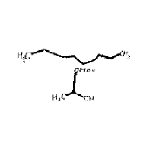 CCCCCCC(C)O.CCCCCCCC